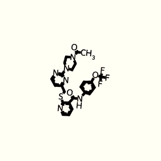 CC(=O)N1CCN(c2nccc(CSc3ncccc3C(=O)Nc3ccc(OC(F)(F)F)cc3)n2)CC1